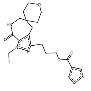 CCn1nc(CCCOC(=O)c2cscn2)c2c1C(=O)NCC1(CCOCC1)C2